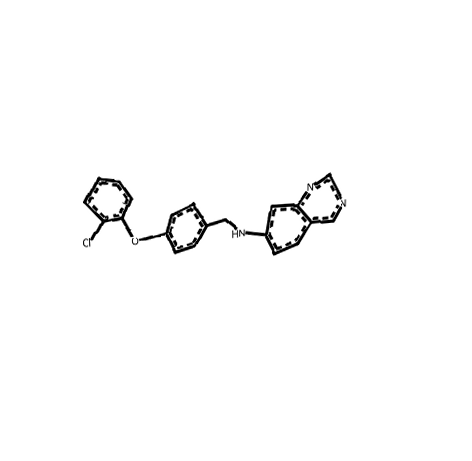 Clc1ccccc1Oc1ccc(CNc2ccc3cncnc3c2)cc1